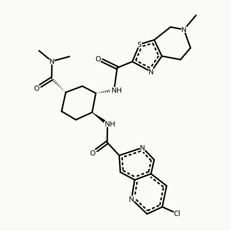 CN1CCc2nc(C(=O)N[C@H]3C[C@@H](C(=O)N(C)C)CC[C@@H]3NC(=O)c3cc4ncc(Cl)cc4cn3)sc2C1